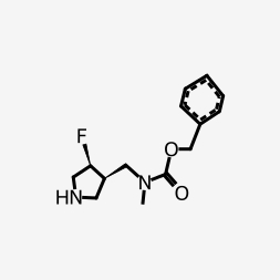 CN(C[C@H]1CNC[C@H]1F)C(=O)OCc1ccccc1